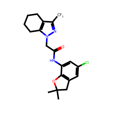 CC1(C)Cc2cc(Cl)cc(NC(=O)Cn3nc(C(F)(F)F)c4c3CCCC4)c2O1